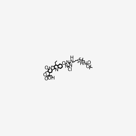 CCc1c2c(nc3ccc(Oc4nc(Cl)nc(NCCSSC(C)(C)CNC(=O)OC(C)(C)C)n4)cc13)-c1cc3c(c(=O)n1C2)COC(=O)[C@]3(O)CC